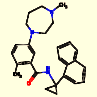 Cc1ccc(N2CCCN(C)CC2)cc1C(=O)NC1(c2cccc3ccccc23)CC1